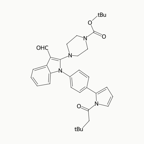 CC(C)(C)CC(=O)n1cccc1-c1ccc(-n2c(N3CCN(C(=O)OC(C)(C)C)CC3)c(C=O)c3ccccc32)cc1